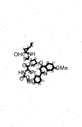 C=CC1C[C@@]1(C=O)NC(=S)[C@@H]1C[C@@H](Oc2cc(-c3ccccc3)nc3cc(OC)ccc23)CN1C(=O)C(NC(=O)OC(C)(C)C)C(C)C